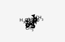 Cc1ccc(NS(C)(=O)=O)c(C(=O)N2CCCC[C@H]2c2cc3[nH]c(C4CC4)c(C)c(=O)n3n2)c1